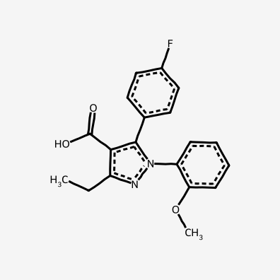 CCc1nn(-c2ccccc2OC)c(-c2ccc(F)cc2)c1C(=O)O